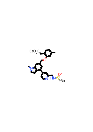 CCOC(=O)Cc1ccc(C)cc1OCc1cc(-c2ccnc(CN[S+]([O-])C(C)(C)C)c2)c2ccn(C)c2c1